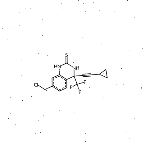 FC(F)(F)C1(C#CC2CC2)NC(=S)Nc2cc(CCl)ccc21